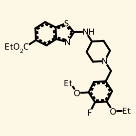 CCOC(=O)c1ccc2sc(NC3CCN(Cc4cc(OCC)c(F)c(OCC)c4)CC3)nc2c1